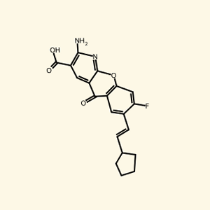 Nc1nc2oc3cc(F)c(C=CC4CCCC4)cc3c(=O)c2cc1C(=O)O